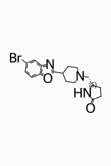 O=C1CC[C@@H](CN2CCC(c3nc4cc(Br)ccc4o3)CC2)N1